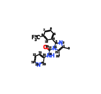 Cc1nc(-c2cccc(C(F)(F)F)c2)n(C(=O)Nc2cccnc2)c1C